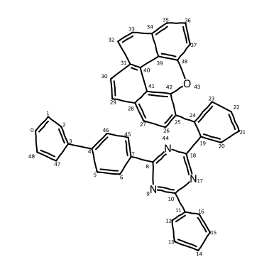 c1ccc(-c2ccc(-c3nc(-c4ccccc4)nc(-c4ccccc4-c4ccc5ccc6ccc7cccc8c7c6c5c4O8)n3)cc2)cc1